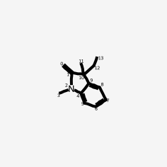 C=C1N(C)c2ccccc2C1(C)CC